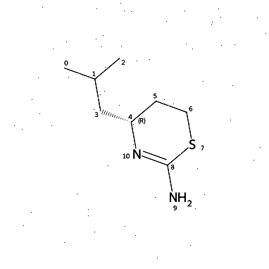 CC(C)C[C@@H]1CCSC(N)=N1